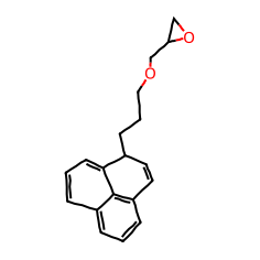 C1=CC(CCCOCC2CO2)c2cccc3cccc1c23